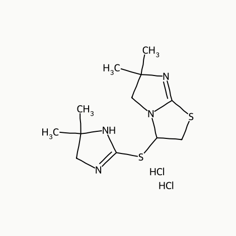 CC1(C)CN2C(=N1)SCC2SC1=NCC(C)(C)N1.Cl.Cl